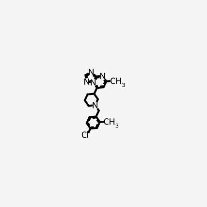 Cc1cc(C2CCCN(Cc3ccc(Cl)cc3C)C2)n2ncnc2n1